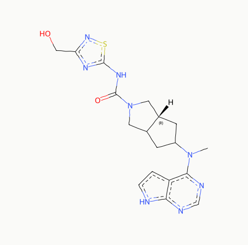 CN(c1ncnc2[nH]ccc12)C1CC2CN(C(=O)Nc3nc(CO)ns3)C[C@@H]2C1